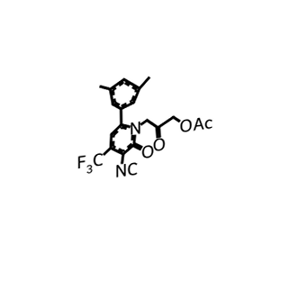 [C-]#[N+]c1c(C(F)(F)F)cc(-c2cc(C)cc(C)c2)n(CC(=O)COC(C)=O)c1=O